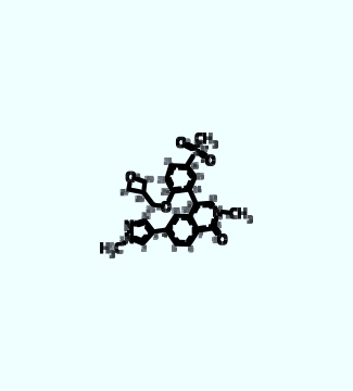 Cn1cc(-c2ccc3c(=O)n(C)cc(-c4cc(S(C)(=O)=O)ccc4OCC4COC4)c3c2)cn1